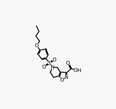 CCCCOc1ccc(S(=O)(=O)N2CCc3onc(C(=O)O)c3C2)cc1